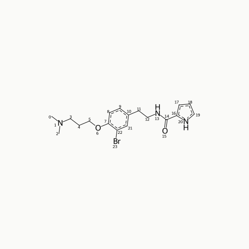 CN(C)CCCOc1ccc(CCNC(=O)c2ccc[nH]2)cc1Br